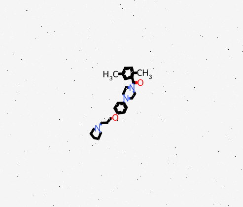 Cc1ccc(C)c(C(=O)N2CCN(c3ccc(OCCCN4CCCCC4)cc3)CC2)c1